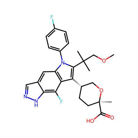 COCC(C)(C)c1c([C@H]2CC[C@](C)(C(=O)O)OC2)c2c(F)c3[nH]ncc3cc2n1-c1ccc(F)cc1